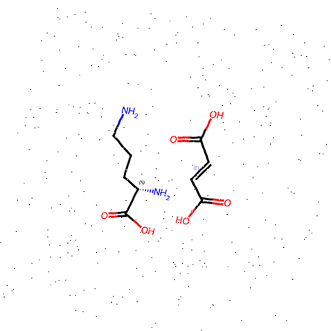 NCCC[C@H](N)C(=O)O.O=C(O)/C=C/C(=O)O